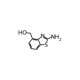 Nc1nc2c(CO)cccc2s1